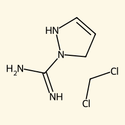 ClCCl.N=C(N)N1CC=CN1